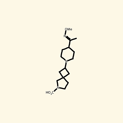 CON=C(C)C1CCN(C2CC3(CCN(C(=O)O)C3)C2)CC1